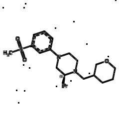 CC(C)[C@H]1CN(c2cccc(S(C)(=O)=O)c2)CCN1CC1CCCOC1